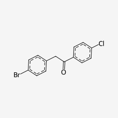 O=C(Cc1ccc(Br)cc1)c1ccc(Cl)cc1